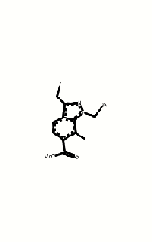 COC(=O)c1ccc2c(CF)nn(CC(C)C)c2c1C